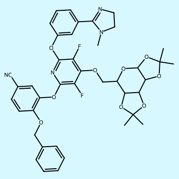 CN1CCN=C1c1cccc(Oc2nc(Oc3cc(C#N)ccc3OCc3ccccc3)c(F)c(OCC3OC4OC(C)(C)OC4C4OC(C)(C)OC34)c2F)c1